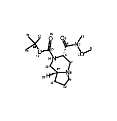 CON(C)C(=O)[C@@H]1CN2CCC[C@@H]2CN1C(=O)OC(C)(C)C